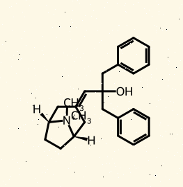 C[N+]1(C)[C@@H]2CC[C@H]1C/C(=C\C(O)(Cc1ccccc1)Cc1ccccc1)C2